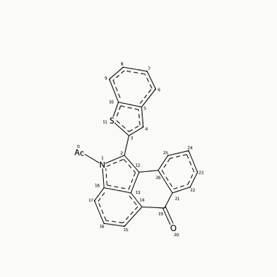 CC(=O)n1c(-c2cc3ccccc3s2)c2c3c(cccc31)C(=O)c1ccccc1-2